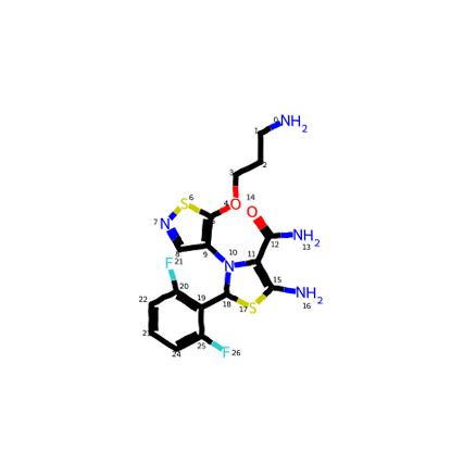 NCCCOc1sncc1N1C(C(N)=O)=C(N)SC1c1c(F)cccc1F